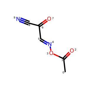 CC(=O)ON=CC(=O)C#N